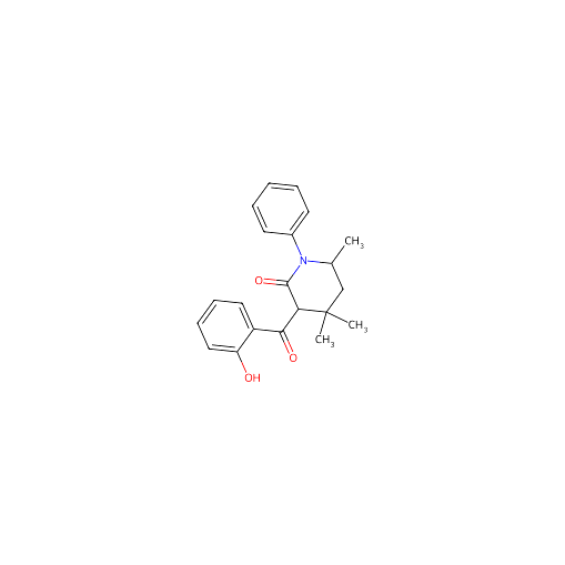 CC1CC(C)(C)C(C(=O)c2ccccc2O)C(=O)N1c1ccccc1